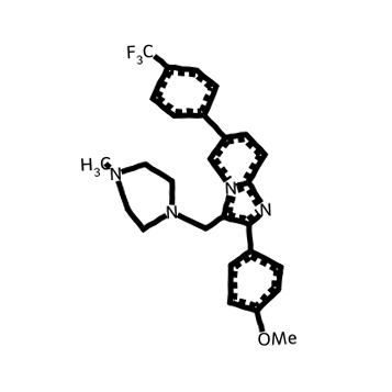 COc1ccc(-c2nc3ccc(-c4ccc(C(F)(F)F)cc4)cn3c2CN2CCN(C)CC2)cc1